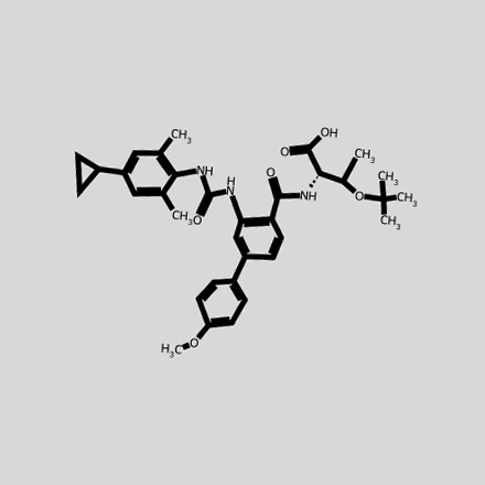 COc1ccc(-c2ccc(C(=O)N[C@H](C(=O)O)C(C)OC(C)(C)C)c(NC(=O)Nc3c(C)cc(C4CC4)cc3C)c2)cc1